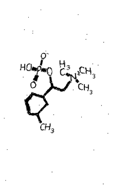 CC1CCCC(C(C[N+](C)(C)C)OP(=O)([O-])O)C1